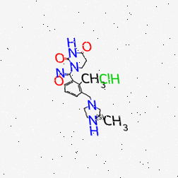 Cc1c(CN2CCN[C@@H](C)C2)ccc2onc(N3CCC(=O)NC3=O)c12.Cl